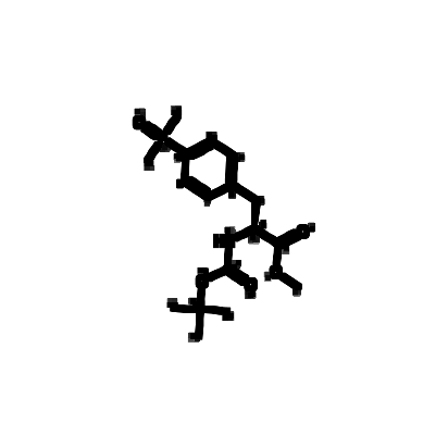 COC(=O)[C@H](Cc1ccc(P(C)(C)=O)cc1)NC(=O)OC(C)(C)C